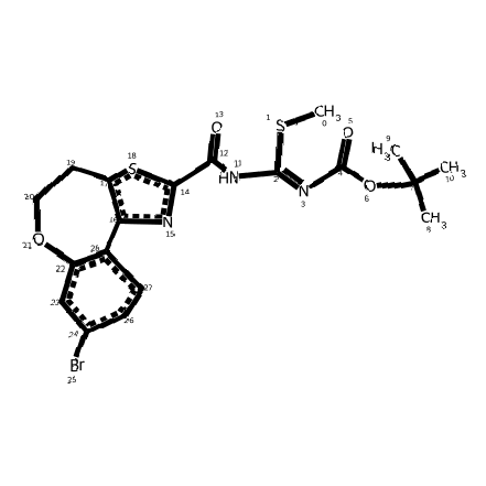 CS/C(=N\C(=O)OC(C)(C)C)NC(=O)c1nc2c(s1)CCOc1cc(Br)ccc1-2